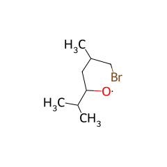 CC(CBr)CC([O])C(C)C